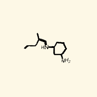 CCCC(C)CNC1CCCC(N)C1